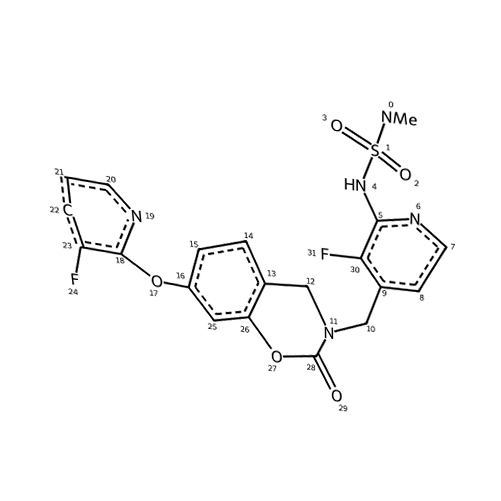 CNS(=O)(=O)Nc1nccc(CN2Cc3ccc(Oc4ncccc4F)cc3OC2=O)c1F